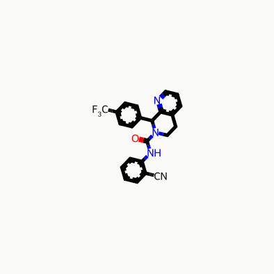 N#Cc1ccccc1NC(=O)N1CCc2cccnc2C1c1ccc(C(F)(F)F)cc1